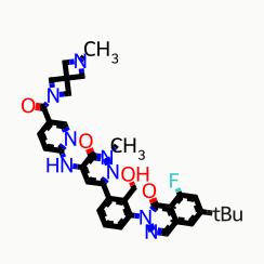 CN1CC2(C1)CN(C(=O)c1ccc(Nc3cc(-c4cccc(-n5ncc6cc(C(C)(C)C)cc(F)c6c5=O)c4CO)nn(C)c3=O)nc1)C2